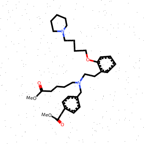 COC(=O)CCCCN(CCc1ccccc1OCCCCN1CCCCC1)Cc1ccc(C(=O)OC)cc1